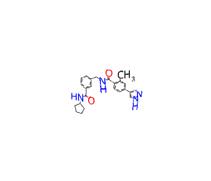 Cc1cc(-c2cn[nH]c2)ccc1C(=O)NCc1cccc(C(=O)NC2CCCC2)c1